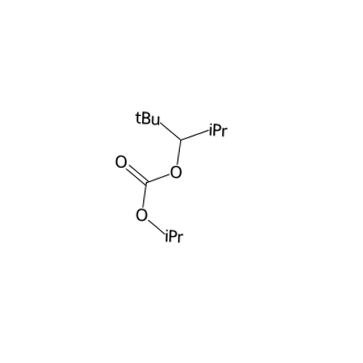 CC(C)OC(=O)OC(C(C)C)C(C)(C)C